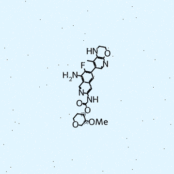 CO[C@H]1COCC[C@@H]1OC(=O)Nc1cc2cc(-c3cnc4c(c3C)NCCO4)c(F)c(N)c2cn1